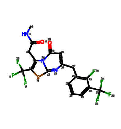 CNC(=O)Cc1c(C(F)(F)F)sc2nc(Cc3cccc(C(F)(F)F)c3F)cc(=O)n12